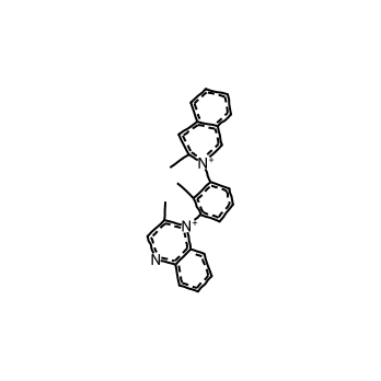 Cc1c(-[n+]2cc3ccccc3cc2C)cccc1-[n+]1c(C)cnc2ccccc21